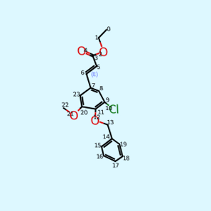 CCOC(=O)/C=C/c1cc(Cl)c(OCc2ccccc2)c(OC)c1